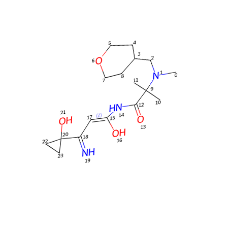 CN(CC1CCOCC1)C(C)(C)C(=O)N/C(O)=C/C(=N)C1(O)CC1